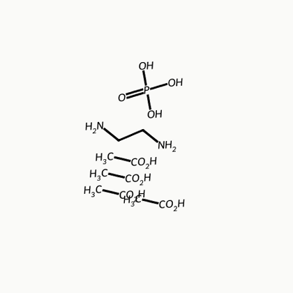 CC(=O)O.CC(=O)O.CC(=O)O.CC(=O)O.NCCN.O=P(O)(O)O